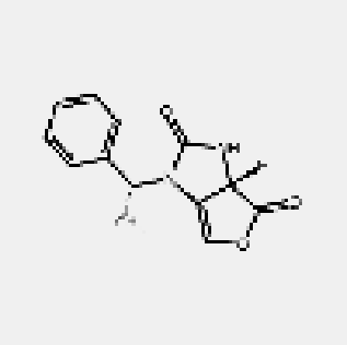 C[C@H](c1ccccc1)N1C(=O)N[C@@H]2C(=O)OC=C21